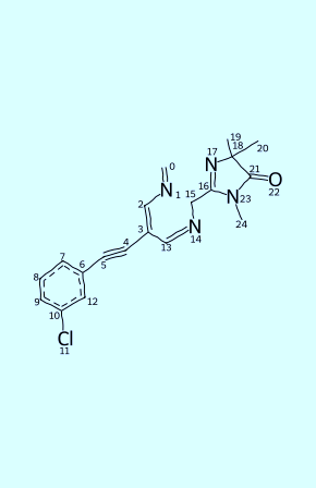 C=N/C=C(C#Cc1cccc(Cl)c1)\C=N/CC1=NC(C)(C)C(=O)N1C